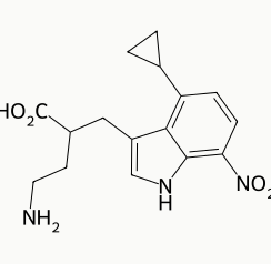 NCCC(Cc1c[nH]c2c([N+](=O)[O-])ccc(C3CC3)c12)C(=O)O